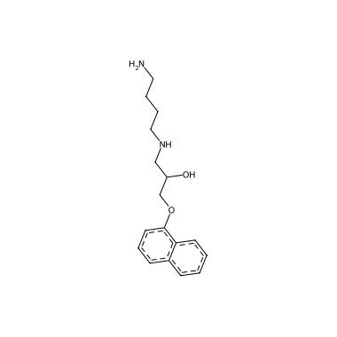 NCCCCNCC(O)COc1cccc2ccccc12